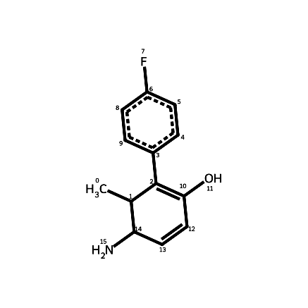 CC1C(c2ccc(F)cc2)=C(O)C=CC1N